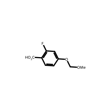 COCOc1ccc(C(=O)O)c(F)c1